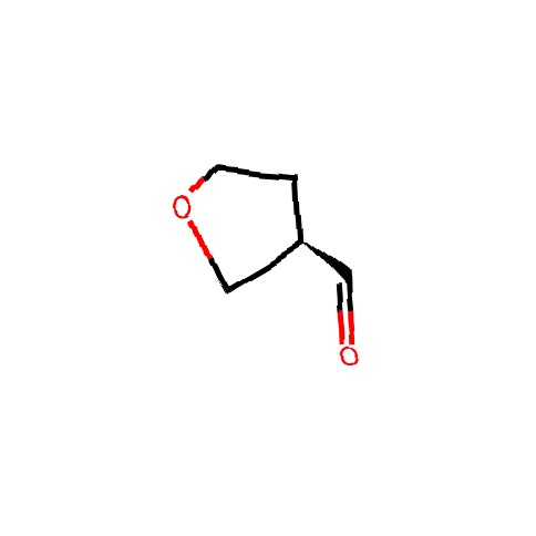 O=C[C@@H]1CCOC1